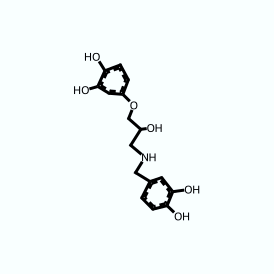 Oc1ccc(CNCC(O)COc2ccc(O)c(O)c2)cc1O